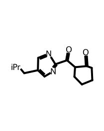 CC(C)Cc1cnc(C(=O)C2CCCCC2=O)nc1